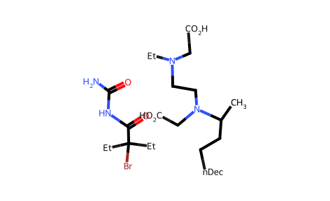 CCC(Br)(CC)C(=O)NC(N)=O.CCCCCCCCCCCCC(C)N(CCN(CC)CC(=O)O)CC(=O)O